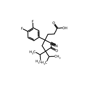 CC(C)C(CC(C#N)(CCC(=O)O)c1ccc(F)c(F)c1)(C(=O)O)C(C)C